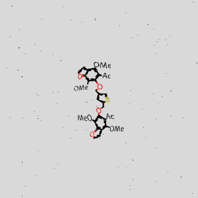 COc1c(C(C)=O)c(OCc2csc(COc3c(C(C)=O)c(OC)c4ccoc4c3OC)c2)c(OC)c2occc12